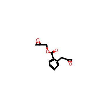 O=C(OCC1CO1)c1ccccc1CC1CO1